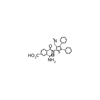 C=NCc1c(NC(=O)c2ccc(C(=O)O)cc2C(N)=O)sc(-c2ccccc2)c1-c1ccccc1